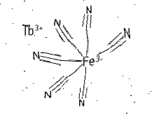 N#[C][Fe-3]([C]#N)([C]#N)([C]#N)([C]#N)[C]#N.[Tb+3]